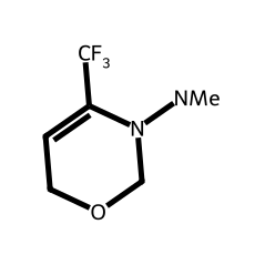 CNN1COCC=C1C(F)(F)F